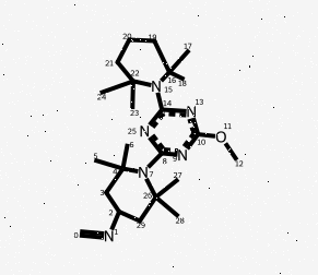 C=NC1CC(C)(C)N(c2nc(OC)nc(N3C(C)(C)CCCC3(C)C)n2)C(C)(C)C1